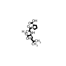 CC(C)CC[C@H](N[C@@H](C)C(=O)N1CCC[C@H]1C(=O)O)C(=O)O